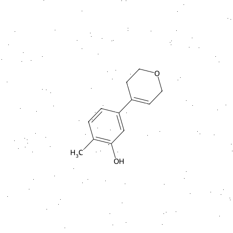 Cc1ccc(C2=CCOCC2)cc1O